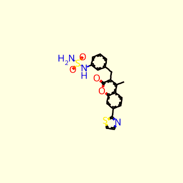 Cc1c(Cc2cccc(NS(N)(=O)=O)c2)c(=O)oc2cc(-c3nccs3)ccc12